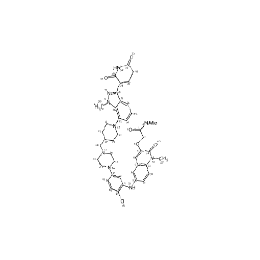 CNC(=O)COc1cc2cc(Nc3cc(N4CCN(CC5CCN(c6cccc7c(C8CCC(=O)NC8=O)nn(C)c67)CC5)CC4)ncc3Cl)ccc2n(C)c1=O